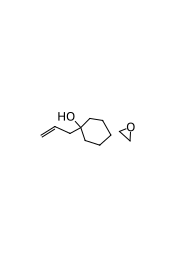 C1CO1.C=CCC1(O)CCCCC1